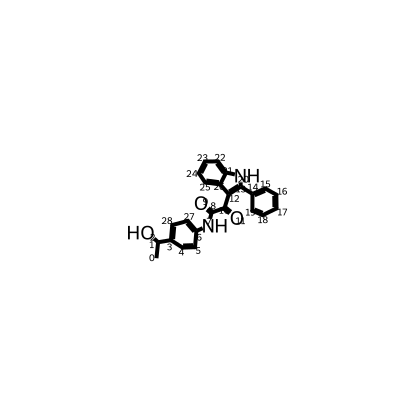 CC(O)c1ccc(NC(=O)C(=O)c2c(-c3ccccc3)[nH]c3ccccc23)cc1